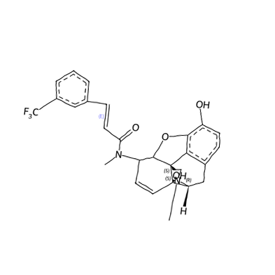 CN(C(=O)/C=C/c1cccc(C(F)(F)F)c1)C1C=C[C@@]2(O)[C@H]3Cc4ccc(O)c5c4[C@@]2(CCN3C)C1O5